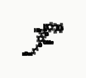 Br.CCCCCCCCCCCCCCOc1ccc(CC(=O)Nc2ccc(CN3CSC=C3C)cc2)cc1OC